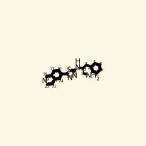 NC[C@H](Cc1ccccc1)Nc1nnc(-c2ccc3cnccc3c2)s1